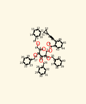 O=C(OC1O[C@H](COCc2ccccc2)[C@@H](OCc2ccccc2)[C@H](OCc2ccccc2)[C@H]1OCc1ccccc1)c1ccccc1C#CC1CC1